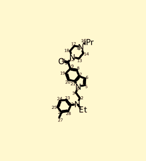 CCN(CCn1ccc2cc(C(=O)N3CCN(C(C)C)CC3)ccc21)c1cccc(C)c1